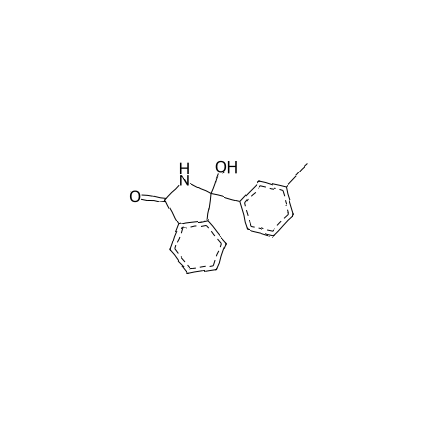 Cc1cccc(C2(O)NC(=O)c3ccccc32)c1